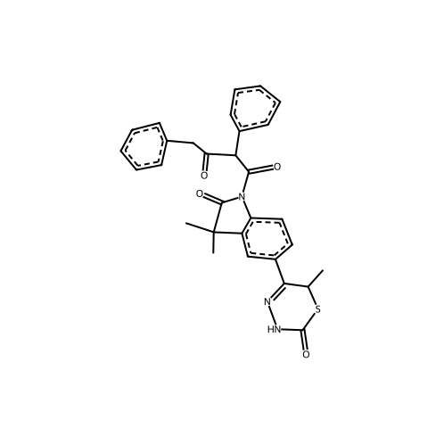 CC1SC(=O)NN=C1c1ccc2c(c1)C(C)(C)C(=O)N2C(=O)C(C(=O)Cc1ccccc1)c1ccccc1